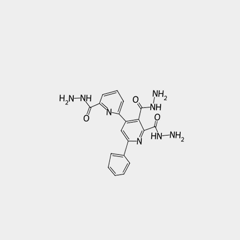 NNC(=O)c1cccc(-c2cc(-c3ccccc3)nc(C(=O)NN)c2C(=O)NN)n1